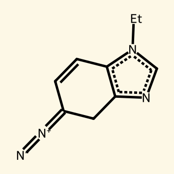 CCn1cnc2c1C=CC(=[N+]=[N-])C2